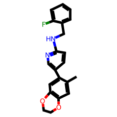 Cc1cc2c(cc1-c1ccc(NCc3ccccc3F)nc1)OCCO2